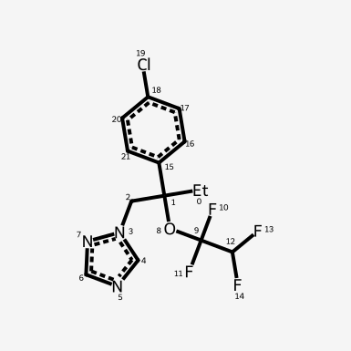 CCC(Cn1cncn1)(OC(F)(F)C(F)F)c1ccc(Cl)cc1